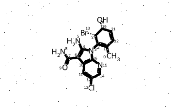 CC1=C(n2c(N)c(C(N)=O)c3cc(Cl)cnc32)[C@H](Br)[C@H](O)C=C1